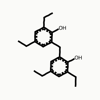 CCc1cc(CC)c(O)c(Cc2cc(CC)cc(CC)c2O)c1